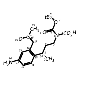 C[C@@H](CCN(C(=O)O)C(=O)OC(C)(C)C)c1ccc(N)cc1C[S+](C)[O-]